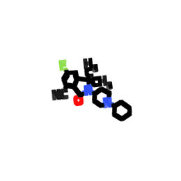 CC1(C)c2cc(F)cc(C#N)c2C(=O)N1C1CCN(C2CCCCC2)CC1